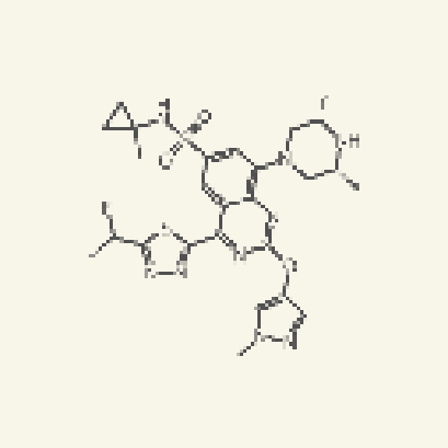 C[C@H]1CN(c2cc(S(=O)(=O)NC3(C)CC3)cc3c(-c4nnc(C(F)F)s4)nc(Oc4cnn(C)c4)nc23)C[C@H](C)N1